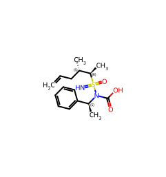 C=CC[C@H](C)[C@@H](C)S(=N)(=O)N(C(=O)O)[C@@H](C)c1ccccc1